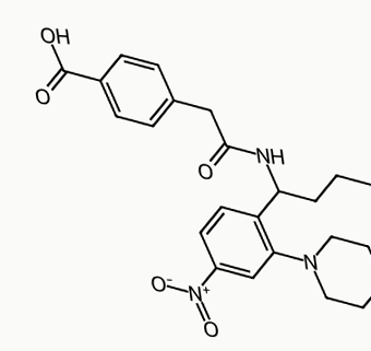 CCCC(NC(=O)Cc1ccc(C(=O)O)cc1)c1ccc([N+](=O)[O-])cc1N1CCCCC1